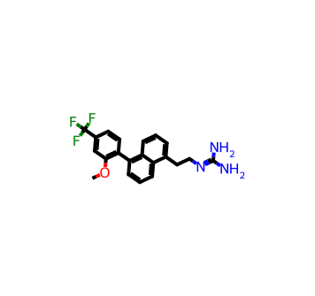 COc1cc(C(F)(F)F)ccc1-c1cccc2c(CCN=C(N)N)cccc12